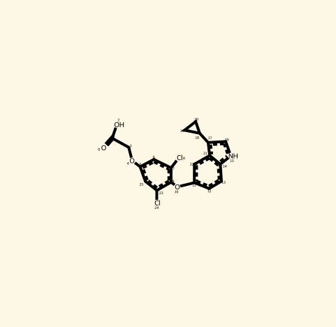 O=C(O)COc1cc(Cl)c(Oc2ccc3[nH]cc(C4CC4)c3c2)c(Cl)c1